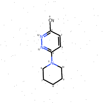 N#Cc1ccc(N2CC[CH]CC2)nn1